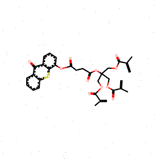 C=C(C)C(=O)OCC(COC(=O)C(=C)C)(COC(=O)C(=C)C)OC(=O)CCC(=O)Oc1cccc2c(=O)c3ccccc3sc12